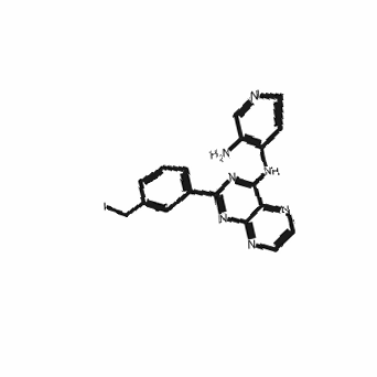 Nc1cnccc1Nc1nc(-c2cccc(CI)c2)nc2nccnc12